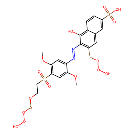 COc1cc(S(=O)(=O)CCOSOOO)c(OC)cc1/N=N/c1c(SOOO)cc2cc(S(=O)(=O)O)ccc2c1O